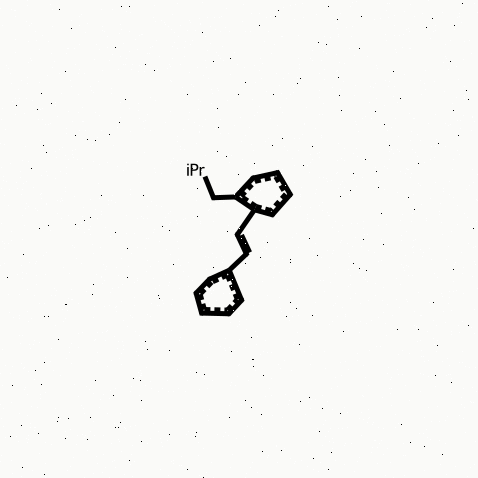 CC(C)Cc1ccccc1/C=C/c1ccccc1